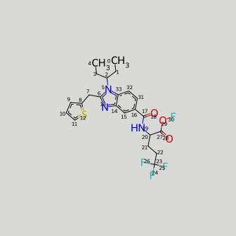 CCC(CC)n1c(Cc2cccs2)nc2cc(C(=O)NC(CCC(F)(F)F)C(=O)OF)ccc21